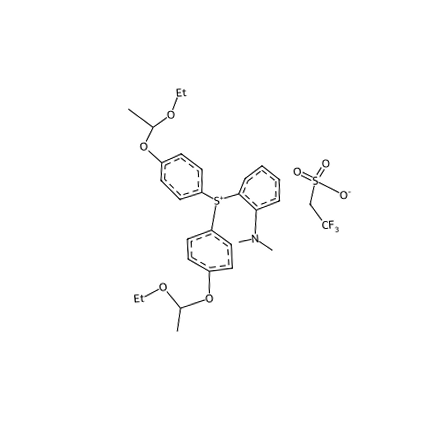 CCOC(C)Oc1ccc([S+](c2ccc(OC(C)OCC)cc2)c2ccccc2N(C)C)cc1.O=S(=O)([O-])CC(F)(F)F